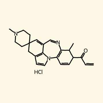 C=CC(=O)C1C=CC2=C(N=CC3=CC4(CCN(C)CC4)Cc4ccn2c43)C1C.Cl